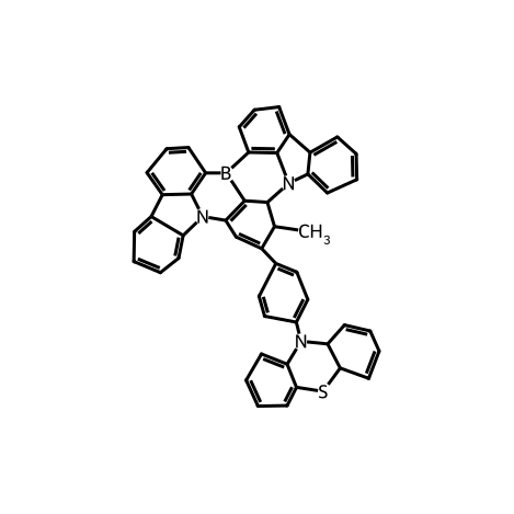 CC1C(c2ccc(N3c4ccccc4SC4C=CC=CC43)cc2)=CC2=C3B(c4cccc5c6ccccc6n2c45)c2cccc4c5ccccc5n(c24)C31